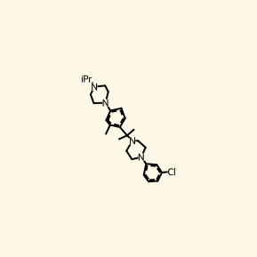 Cc1cc(N2CCN(C(C)C)CC2)ccc1C(C)(C)N1CCN(c2cccc(Cl)c2)CC1